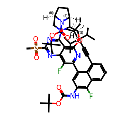 CC(C)[Si](C#Cc1cccc2c(F)c(NC(=O)OC(C)(C)C)cc(-c3nc4c5c(nc(S(C)(=O)=O)nc5c3F)N3C[C@H]5CC[C@@H]([C@H]3[C@H](C)O4)N5C(=O)OC(C)(C)C)c12)(C(C)C)C(C)C